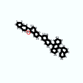 c1ccc2cc3c(cc2c1)oc1c2ccc(-c4ccc5cc(-c6c7ccccc7c(-c7cccc8ccccc78)c7ccccc67)ccc5c4)cc2ccc31